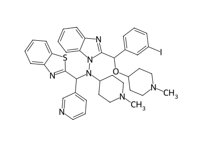 CN1CCC(OC(c2cccc(I)c2)c2nc3ccccc3n2N(C2CCN(C)CC2)C(c2cccnc2)c2nc3ccccc3s2)CC1